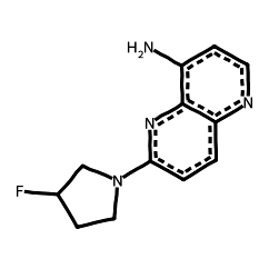 Nc1ccnc2ccc(N3CCC(F)C3)nc12